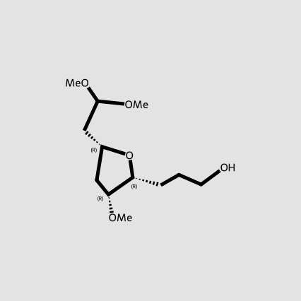 COC(C[C@H]1C[C@@H](OC)[C@@H](CCCO)O1)OC